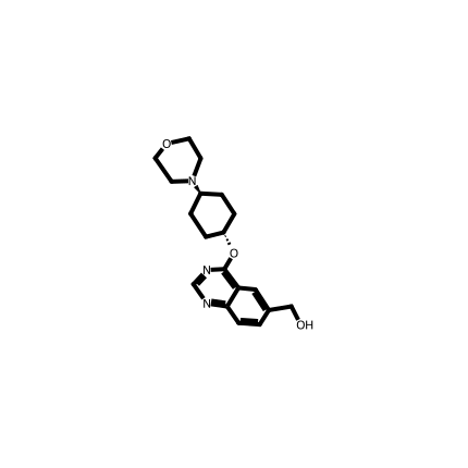 OCc1ccc2ncnc(O[C@H]3CC[C@H](N4CCOCC4)CC3)c2c1